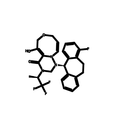 C[C@@H](N1CN([C@H]2c3ccccc3CCc3c(F)cccc32)N2/C=C\COC/C(O)=C\2C1=O)C(F)(F)F